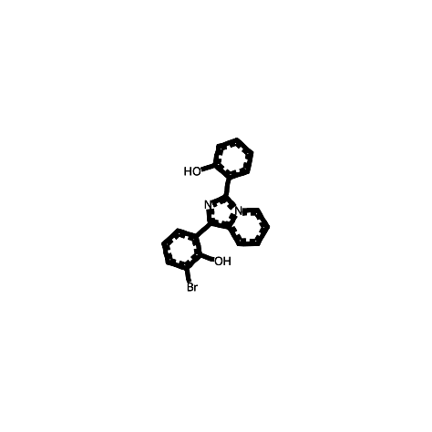 Oc1ccccc1-c1nc(-c2cccc(Br)c2O)c2ccccn12